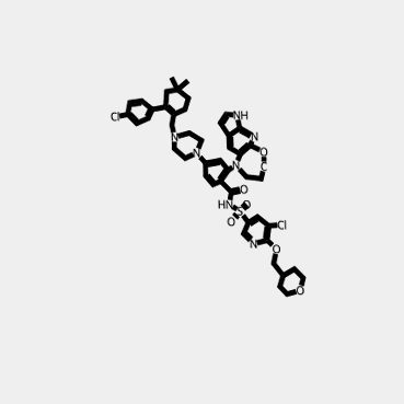 CC1(C)CCC(CN2CCN(c3ccc(C(=O)NS(=O)(=O)c4cnc(OCC5CCOCC5)c(Cl)c4)c(N4CCCOc5nc6[nH]ccc6cc54)c3)CC2)=C(c2ccc(Cl)cc2)C1